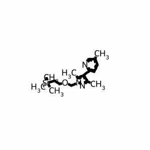 Cc1ccc(-c2c(C)nn(COCC[Si](C)(C)C)c2C)nc1